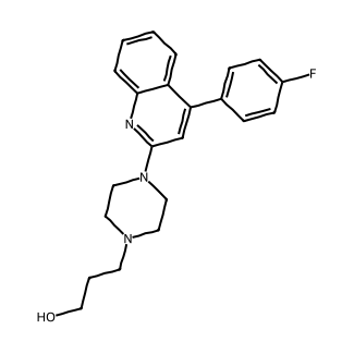 OCCCN1CCN(c2cc(-c3ccc(F)cc3)c3ccccc3n2)CC1